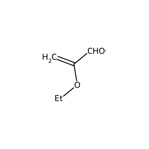 C=C([C]=O)OCC